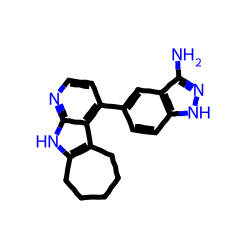 Nc1n[nH]c2ccc(-c3ccnc4[nH]c5c(c34)CCCCC5)cc12